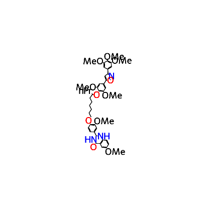 CCCC(CCCCCCOc1ccc(C2NC(=O)c3cc(OC)ccc3N2)cc1OC)Oc1c(OC)cc(-c2cc(-c3cc(OC)c(OC)c(OC)c3)no2)cc1OC